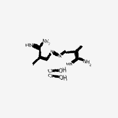 CC(CN=NCC(C)C(=N)N)C(=N)N.OCl.OCl